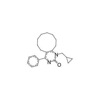 O=c1nc(-c2ccccc2)c2c(n1CC1CC1)CCCCCCCC2